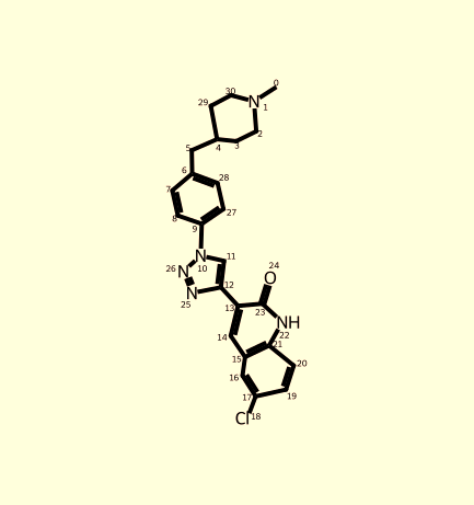 CN1CCC(Cc2ccc(-n3cc(-c4cc5cc(Cl)ccc5[nH]c4=O)nn3)cc2)CC1